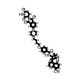 CC1(C)C(NC(=O)c2ccc(OCCCCN3CCN(c4ccc5c(c4)C(=O)N(C4CCC(=O)NC4=O)C5=O)CC3)cc2)C2(C)c3ccnc4c(C#N)ccc(c34)O[C@@H]12